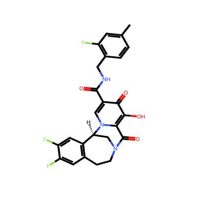 Cc1ccc(CNC(=O)c2cn3c(c(O)c2=O)C(=O)N2CCc4cc(F)c(F)cc4[C@@H]3C2)c(F)c1